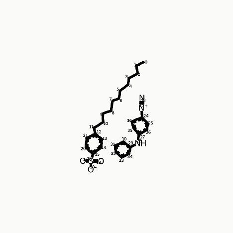 CCCCCCCCCCCCc1ccc(S(=O)(=O)[O-])cc1.N#[N+]c1ccc(Nc2ccccc2)cc1